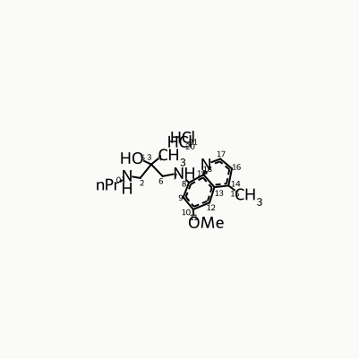 CCCNCC(C)(O)CNc1cc(OC)cc2c(C)ccnc12.Cl.Cl